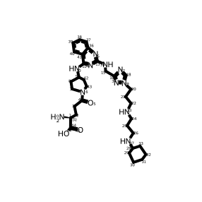 N[C@@H](CCC(=O)N1CCC(Nc2nc(NCc3ncn(CCCNCCCNC4CCCCC4)n3)nc3ccccc23)CC1)C(=O)O